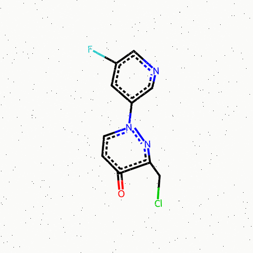 O=c1ccn(-c2cncc(F)c2)nc1CCl